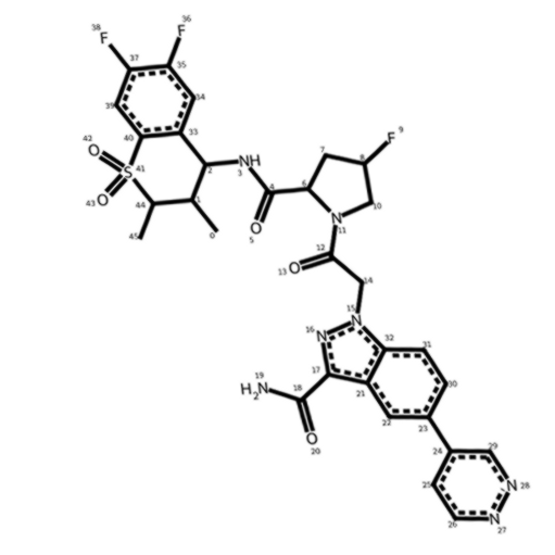 CC1C(NC(=O)C2CC(F)CN2C(=O)Cn2nc(C(N)=O)c3cc(-c4ccnnc4)ccc32)c2cc(F)c(F)cc2S(=O)(=O)C1C